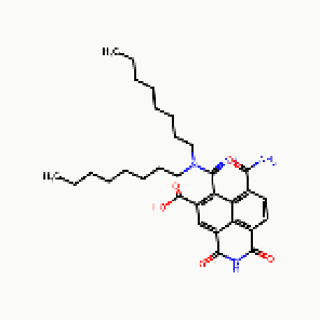 CCCCCCCCN(CCCCCCCC)C(=N)c1c(C(=O)O)cc2c3c(ccc(C(N)=O)c13)C(=O)NC2=O